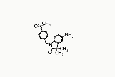 C[S+]([O-])c1ccc(CN2C(=O)C(C)(C)c3cc(N)ccc32)cc1